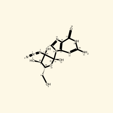 [N-]=[N+]=N[C@@]1(O)[C@H](O)[C@@H](CO)O[C@@]1(O)n1cnc2c(=O)[nH]c(N)nc21